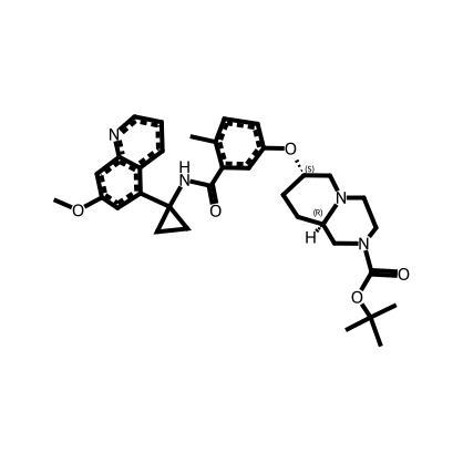 COc1cc(C2(NC(=O)c3cc(O[C@H]4CC[C@@H]5CN(C(=O)OC(C)(C)C)CCN5C4)ccc3C)CC2)c2cccnc2c1